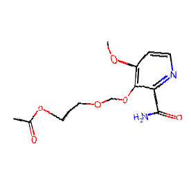 COc1ccnc(C(N)=O)c1OCOCCOC(C)=O